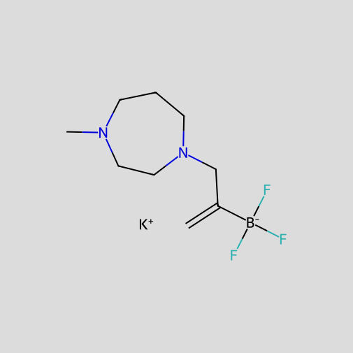 C=C(CN1CCCN(C)CC1)[B-](F)(F)F.[K+]